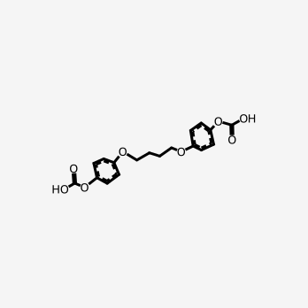 O=C(O)Oc1ccc(OCCCCOc2ccc(OC(=O)O)cc2)cc1